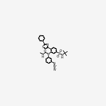 CNC(=O)N(c1cccc(N=[N+]=[N-])c1)c1cc(S(=O)(=O)NC(C)(C)C)ccc1-c1csc(-c2cc[c]cc2)n1